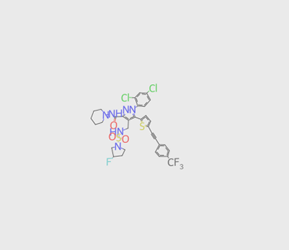 O=C(NN1CCCCC1)c1nn(-c2ccc(Cl)cc2Cl)c(-c2ccc(C#Cc3ccc(C(F)(F)F)cc3)s2)c1CNS(=O)(=O)N1CC[C@@H](F)C1